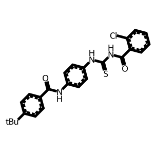 CC(C)(C)c1ccc(C(=O)Nc2ccc(NC(=S)NC(=O)c3ccccc3Cl)cc2)cc1